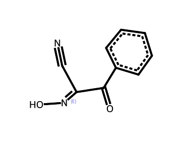 N#C/C(=N\O)C(=O)c1ccccc1